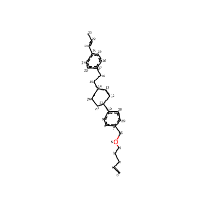 C=CCCCOCc1ccc(C2CCC(CCc3ccc(/C=C/C)cc3)CC2)cc1